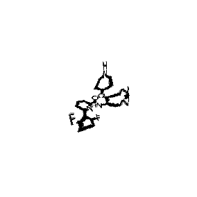 O=C(Nc1cncnc1OC1CCNCC1)c1cccc(-c2c(F)cccc2F)n1